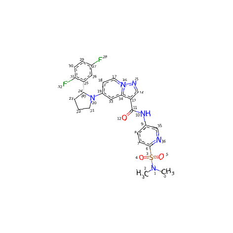 CN(C)S(=O)(=O)c1ccc(NC(=O)c2cnn3ccc(N4CCC[C@@H]4c4cc(F)ccc4F)cc23)cn1